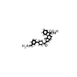 O=C(C1=CC2=CC=C([C@](O)(C(=O)O)c3ccccc3)CC2=N1)N1CCC(c2cccc(C[AsH2])c2)CC1